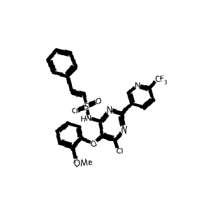 COc1ccccc1Oc1c(Cl)nc(-c2ccc(C(F)(F)F)nc2)nc1NS(=O)(=O)/C=C/c1ccccc1